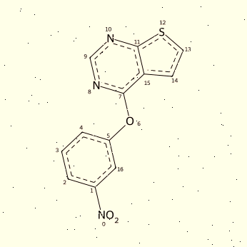 O=[N+]([O-])c1cccc(Oc2ncnc3sccc23)c1